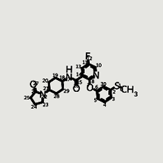 CSc1cccc(Oc2ncc(F)cc2C(=O)NC2CCC(N3CCCC3=O)CC2)c1